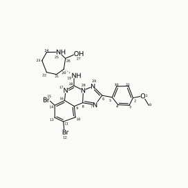 COc1ccc(-c2nc3c4cc(Br)cc(Br)c4nc(N[C@@H]4CCCCNC4O)n3n2)cc1